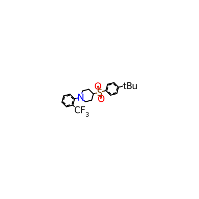 CC(C)(C)c1ccc(S(=O)(=O)C2CCN(c3ccccc3C(F)(F)F)CC2)cc1